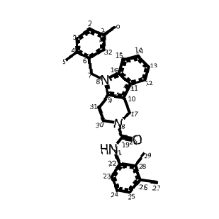 Cc1ccc(C)c(Cn2c3c(c4ccccc42)CN(C(=O)Nc2cccc(C)c2C)CC3)c1